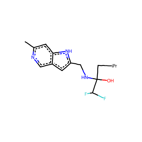 Cc1cc2[nH]c(CNC(O)(CC(C)C)C(F)F)cc2cn1